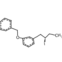 CC[C@@H](I)Cc1cccc(OCc2ccccc2)c1